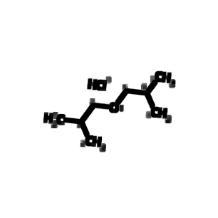 CC(C)COCC(C)C.Cl